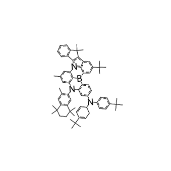 Cc1cc2c3c(c1)-n1c4c(c5cc(C(C)(C)C)cc(c51)B3c1ccc(N(c3ccc(C(C)(C)C)cc3)C3C=CC(C(C)(C)C)=CC3)cc1N2c1cc2c(cc1C)C(C)(C)CCC2(C)C)C(C)(C)c1ccccc1-4